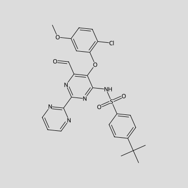 COc1ccc(Cl)c(Oc2c(C=O)nc(-c3ncccn3)nc2NS(=O)(=O)c2ccc(C(C)(C)C)cc2)c1